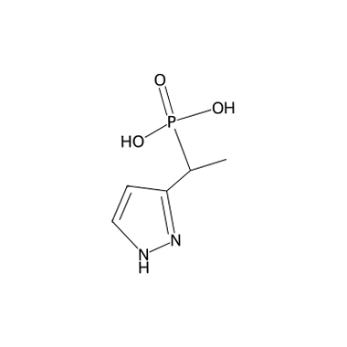 CC(c1cc[nH]n1)P(=O)(O)O